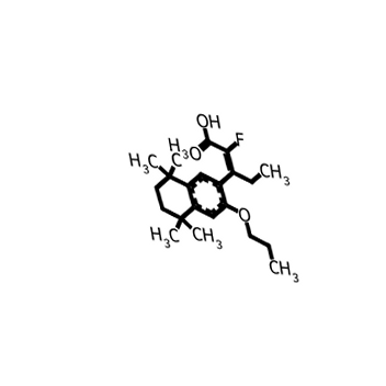 CCCOc1cc2c(cc1/C(CC)=C(/F)C(=O)O)C(C)(C)CCC2(C)C